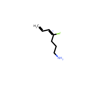 C=C/C=C(/F)CCCN